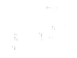 O=C(O)CC1CCN(C(=O)CNCCCCNc2ccccn2)Cc2ccccc21